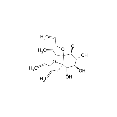 C=CCO[C@@]1(CC=C)[C@@H](O)[C@H](O)[C@@H](O)[C@H](O)[C@@]1(CC=C)OCC=C